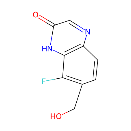 O=c1cnc2ccc(CO)c(F)c2[nH]1